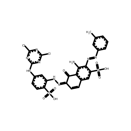 Cc1cccc(/N=N/c2c(S(=O)(=O)O)cc3c(c2N)C(=O)/C(=N\Nc2cc(Nc4nc(Cl)nc(Cl)n4)ccc2S(=O)(=O)O)C=C3)c1